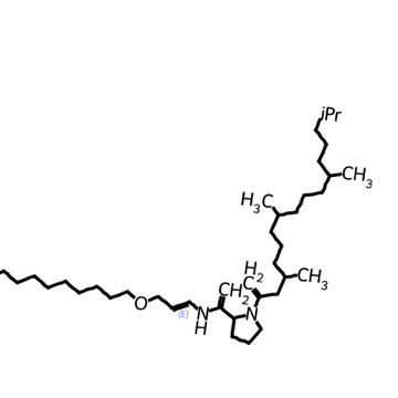 C=C(N/C=C/COCCCCCCCCCN)C1CCCN1C(=C)CC(C)CCCC(C)CCCC(C)CCCC(C)C